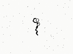 CC=CCC#COC1CCCCO1